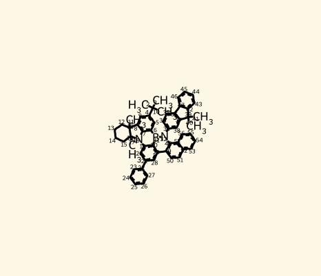 CC(C)(C)c1cc2c3c(c1)C1(C)CCCCC1(C)N3c1cc(-c3ccccc3)cc3c1B2N(c1ccc2c(c1)C(C)(C)c1ccccc1-2)c1c-3ccc2ccccc12